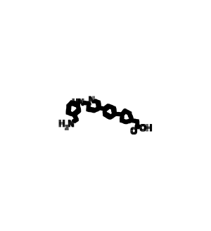 NCc1cccc(Nc2ccc(-c3ccc(C4CCC(CC(=O)O)CC4)cc3)cn2)c1